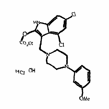 CCOC(=O)Oc1[nH]c2cc(Cl)cc(Cl)c2c1CN1CCN(c2cccc(OC)c2)CC1.Cl.Cl